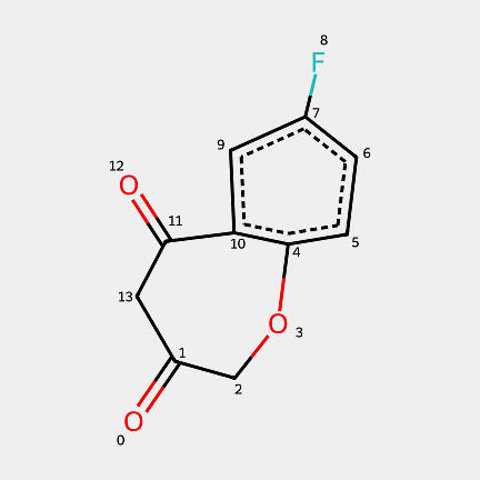 O=C1COc2ccc(F)cc2C(=O)C1